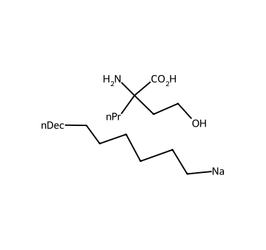 CCCC(N)(CCO)C(=O)O.CCCCCCCCCCCCCCC[CH2][Na]